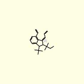 C=C/C=C1\c2c(C=C)cccc2C(C(C)(C)C)C1C(C)(C)CC